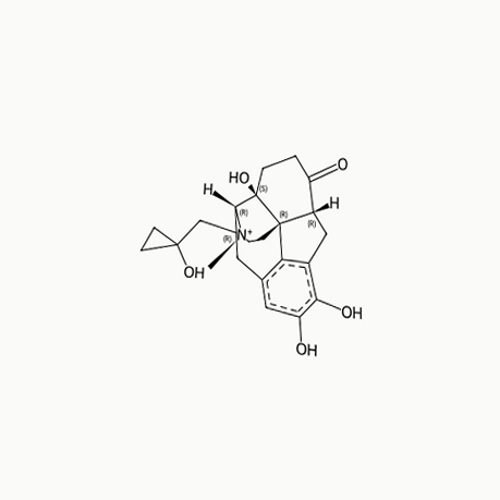 C[N@+]1(CC2(O)CC2)CC[C@]23c4c5cc(O)c(O)c4C[C@H]2C(=O)CC[C@@]3(O)[C@H]1C5